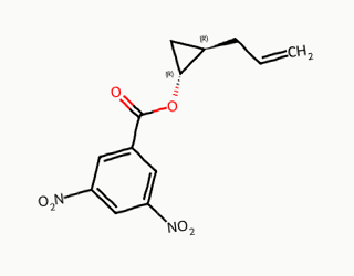 C=CC[C@@H]1C[C@H]1OC(=O)c1cc([N+](=O)[O-])cc([N+](=O)[O-])c1